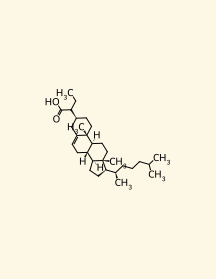 CCC(C(=O)O)[C@H]1CC[C@@]2(C)C(=CC[C@H]3[C@@H]4CC[C@H]([C@H](C)CCCC(C)C)[C@@]4(C)CC[C@@H]32)C1